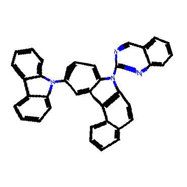 c1ccc2nc(-n3c4ccc(-n5c6ccccc6c6ccccc65)cc4c4c5ccccc5ccc43)ncc2c1